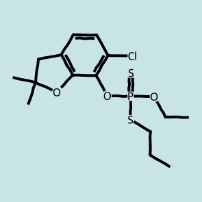 CCCSP(=S)(OCC)Oc1c(Cl)ccc2c1OC(C)(C)C2